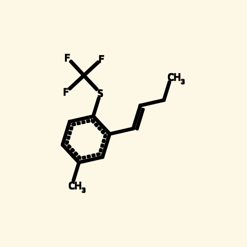 CC/C=C/c1cc(C)ccc1SC(F)(F)F